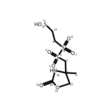 CC1(CS(=O)(=O)S(=O)(=O)CCS(=O)(=O)O)COC(=O)N1